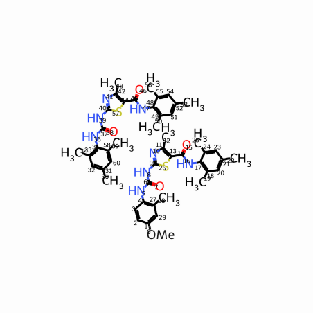 COc1ccc(NC(=O)Nc2nc(C)c(C(=O)Nc3c(C)cc(C)cc3C)s2)c(C)c1.Cc1cc(C)c(NC(=O)Nc2nc(C)c(C(=O)Nc3c(C)cc(C)cc3C)s2)c(C)c1